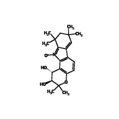 CC1(C)C=C2C(=[N+]([O-])c3c2ccc2c3[C@@H](O)[C@H](O)C(C)(C)O2)C(C)(C)C1